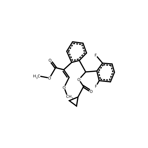 COC=C(C(=O)OC)c1ccccc1C(OC(=O)C1CC1)c1c(F)cccc1F